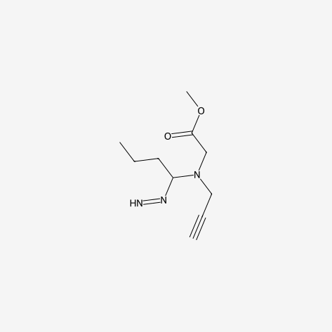 C#CCN(CC(=O)OC)C(CCC)N=N